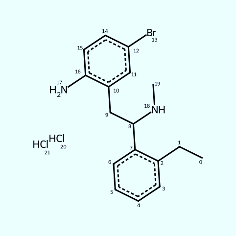 CCc1ccccc1C(Cc1cc(Br)ccc1N)NC.Cl.Cl